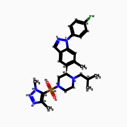 Cc1cc2c(cnn2-c2ccc(F)cc2)cc1[C@H]1CN(S(=O)(=O)c2c(C)nnn2C)CCN1CC(C)C